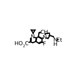 C=Cc1c(N2CCC(CNCC)C2)c(F)cc2c1N(C1CC1)C=C(C(=O)O)C2